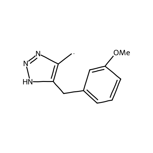 [CH2]c1nn[nH]c1Cc1cccc(OC)c1